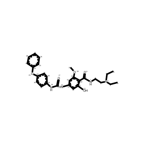 CCN(CC)CCNC(=O)c1c(O)cc(NC(=O)Nc2ccc(Oc3ccccc3)cc2)cc1OC